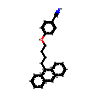 N#Cc1ccc(OCCCCc2c3ccccc3cc3ccccc23)cc1